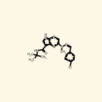 CN(/N=C\c1ccc(Cl)cc1)c1cnc2[nH]cc(C(=O)NC(C)(C)C)c2n1